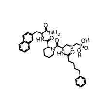 NC(=O)C(Cc1ccc2ccccc2c1)NC(=O)C1CCCCN1C(=O)C(CSCP(=O)(O)O)NC(=O)CCCCc1ccccc1